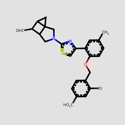 CCc1cc(C(=O)O)ccc1COc1ccc(C)cc1-c1csc(N2CC3C(C=O)C4CC34C2)n1